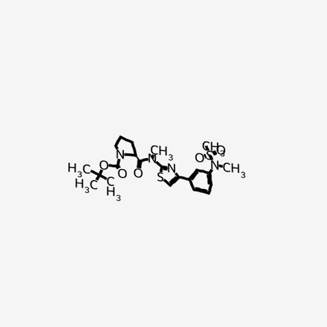 CN(C(=O)[C@@H]1CCCN1C(=O)OC(C)(C)C)c1nc(-c2cccc(N(C)S(C)(=O)=O)c2)cs1